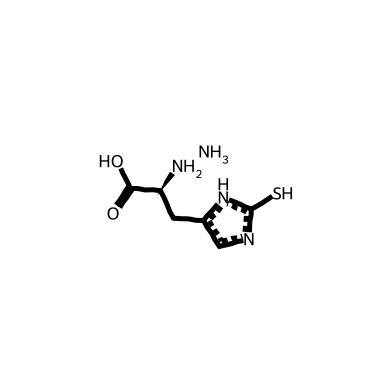 N.N[C@@H](Cc1cnc(S)[nH]1)C(=O)O